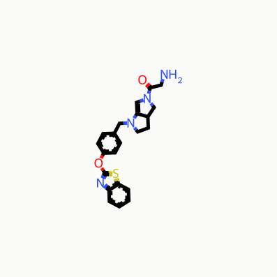 NCC(=O)N1C=C2C(CCN2Cc2ccc(Oc3nc4ccccc4s3)cc2)C1